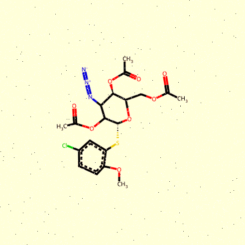 COc1ccc(Cl)cc1S[C@H]1OC(COC(C)=O)[C@H](OC(C)=O)C(N=[N+]=[N-])C1OC(C)=O